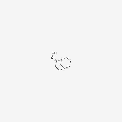 ON=C1CCC2CCCC1C2